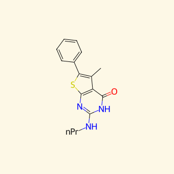 CCCNc1nc2sc(-c3ccccc3)c(C)c2c(=O)[nH]1